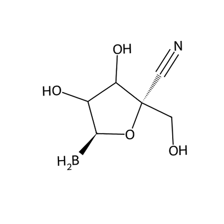 B[C@@H]1O[C@](C#N)(CO)C(O)C1O